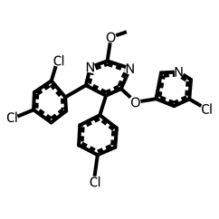 COc1nc(Oc2cncc(Cl)c2)c(-c2ccc(Cl)cc2)c(-c2ccc(Cl)cc2Cl)n1